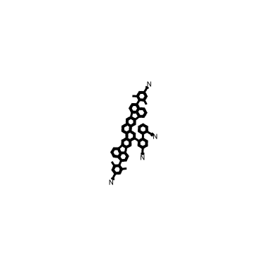 Cc1cc(C#N)cc(C)c1-c1ccc2c3c(cccc13)-c1cc3c(ccc4c5cc6c(cc5c(-c5cc(C#N)ccc5-c5ccccc5C#N)cc34)-c3ccc(-c4c(C)cc(C#N)cc4C)c4cccc-6c34)cc1-2